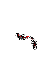 C=C(C)C(=O)OC(C)COC(=O)CCC(=O)OCCc1ccc(CCCc2ccc(CCOC(=O)CCC(=O)OCC(C)OC(=O)C(=C)C)cc2)cc1